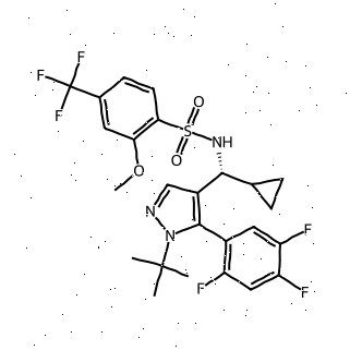 COc1cc(C(F)(F)F)ccc1S(=O)(=O)N[C@@H](c1cnn(C(C)(C)C)c1-c1cc(F)c(F)cc1F)C1CC1